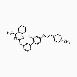 C[C@H](NC(=O)Cc1cccc(-c2ccc(OCCN3CCN(C)CC3)cc2F)c1)C1CCCCC1